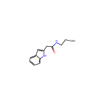 COCCNC(=O)Cc1[c]c2ccccc2[nH]1